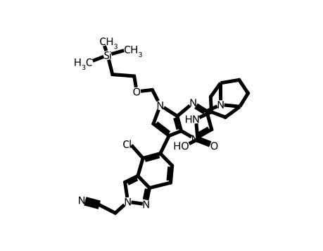 C[Si](C)(C)CCOCn1cc(-c2ccc3nn(CC#N)cc3c2Cl)c2ncc(N3C4CCC3CC(NC(=O)O)C4)nc21